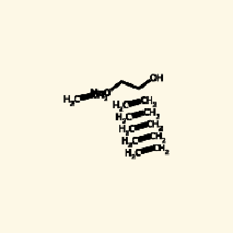 C=C.C=C.C=C.C=C.C=C.C=C.COCCO